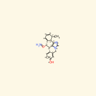 C/C=C\C(=C/CO)Cn1cnc(C2C=CC=CC2C)c1CCON